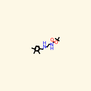 Cc1ccc(CNCCNC(=O)OC(C)(C)C)c(C)c1C